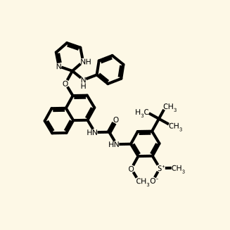 COc1c(NC(=O)Nc2ccc(OC3(Nc4ccccc4)N=CC=CN3)c3ccccc23)cc(C(C)(C)C)cc1[S+](C)[O-]